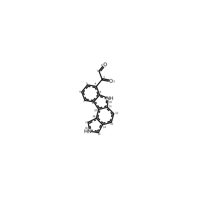 O=CC(=O)c1cccc2c1[nH]c1ccc3c[nH]cc3c12